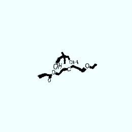 C=CC(=O)OCCOCCOCC.CC(C)(CO)CO